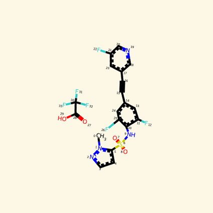 Cn1nccc1S(=O)(=O)Nc1c(F)cc(C#Cc2cncc(F)c2)cc1F.O=C(O)C(F)(F)F